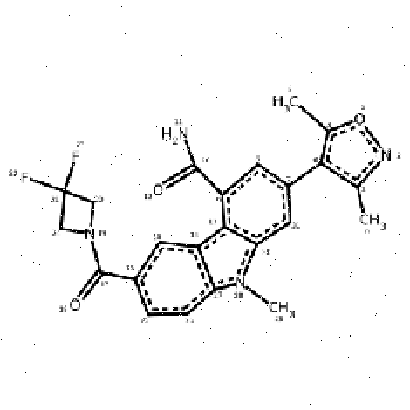 Cc1noc(C)c1-c1cc(C(N)=O)c2c3cc(C(=O)N4CC(F)(F)C4)ccc3n(C)c2c1